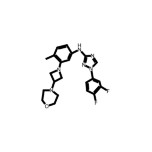 Cc1ccc(Nc2ncn(-c3ccc(F)c(F)c3)n2)cc1N1CC(N2CCOCC2)C1